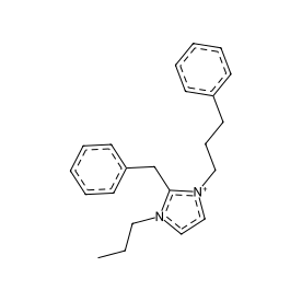 CCCn1cc[n+](CCCc2ccccc2)c1Cc1ccccc1